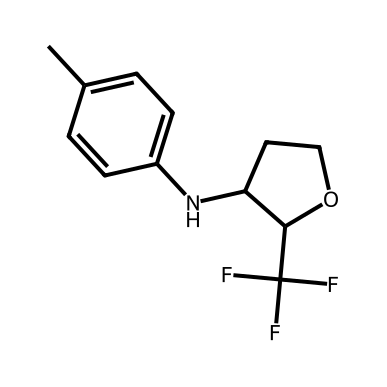 Cc1ccc(NC2CCOC2C(F)(F)F)cc1